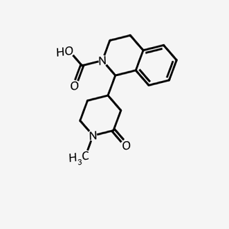 CN1CCC(C2c3ccccc3CCN2C(=O)O)CC1=O